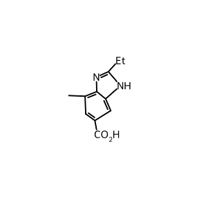 CCc1nc2c(C)cc(C(=O)O)cc2[nH]1